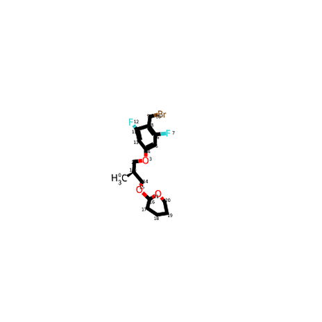 C[C@@H](COc1cc(F)c(CBr)c(F)c1)COC1CCCCO1